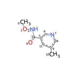 CONC(=O)c1cncc(C)c1